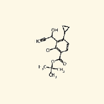 C#CC(O)c1c(C2CC2)ccc(C(=O)OC(C)(C)C)c1Cl